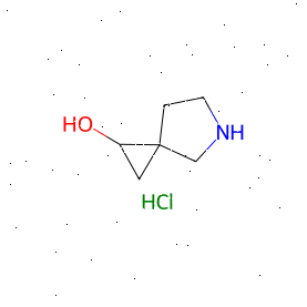 Cl.OC1CC12CCNC2